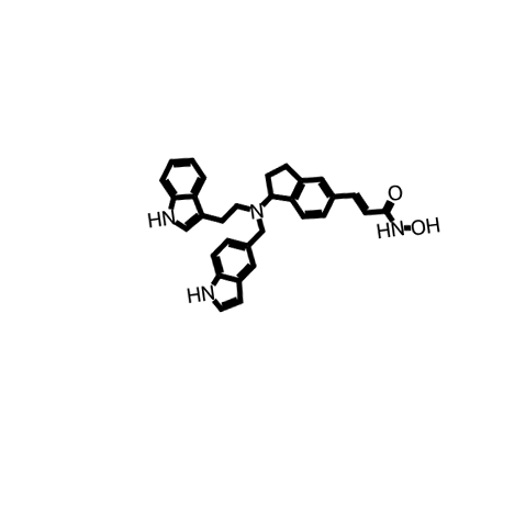 O=C(C=Cc1ccc2c(c1)CCC2N(CCc1c[nH]c2ccccc12)Cc1ccc2[nH]ccc2c1)NO